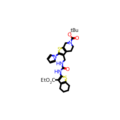 CCOC(=O)c1c(NC(=O)NCc2c(-n3cccc3)sc3c2CCN(C(=O)OC(C)(C)C)C3)sc2c1CCCC2